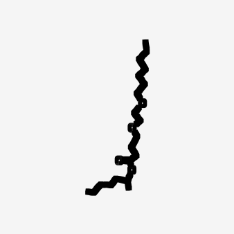 CCCCCCCOCCOCCCC(=O)OC(C)CCCCC